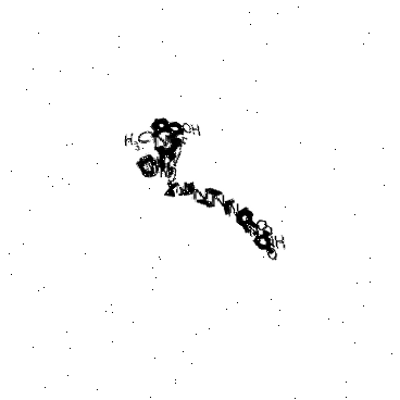 CCc1cccc2cc(O)cc(-c3ncc4c(N5CC6CCC(C5)N6)nc(OCC5(CN6CC(N7CCN(C8CN(c9ccc%10c(c9)CN(C9CCC(=O)NC9=O)C%10=O)C8)CC7)C6)CC5)nc4c3F)c12